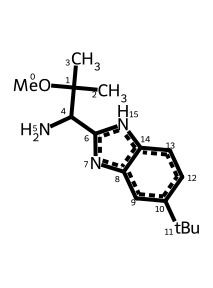 COC(C)(C)C(N)c1nc2cc(C(C)(C)C)ccc2[nH]1